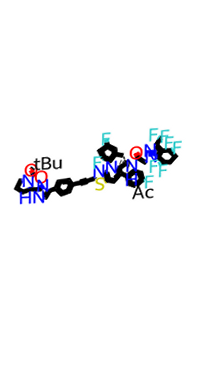 CC(=O)c1cc(-c2cc3sc(C#Cc4ccc(-c5c[nH]c(C6CCCN6C(=O)OC(C)(C)C)n5)cc4)nc3nc2[C@H](Cc2cc(F)cc(F)c2)NC(=O)Cn2nc(C(F)F)c3c2C(F)(F)CCC3(F)F)ccc1F